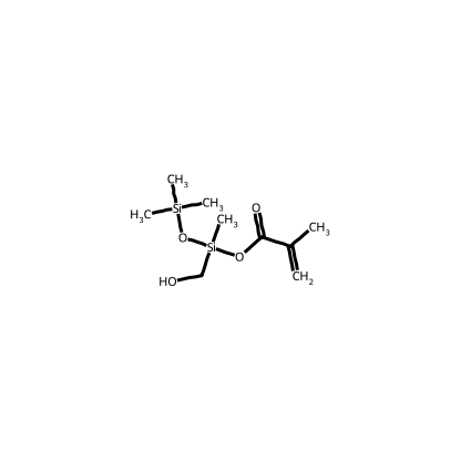 C=C(C)C(=O)O[Si](C)(CO)O[Si](C)(C)C